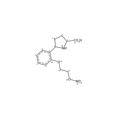 O=C(O)C1CSC(c2ccccc2OCCO[N+](=O)[O-])N1